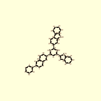 c1ccc(-c2ccc3cc(-c4cc(-c5cc6ccccc6s5)nc(-c5ccc6c(c5)sc5ccccc56)n4)ccc3c2)cc1